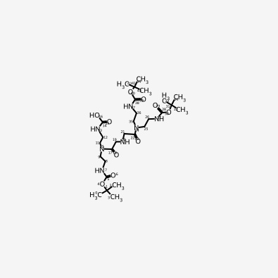 CC(C)(C)OC(=O)NCCN(CCNC(=O)O)C(=O)CNCC(=O)N(CCNC(=O)OC(C)(C)C)CCNC(=O)OC(C)(C)C